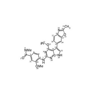 CNC(=O)c1ccc(Nc2nc(OC(C)C)c3c(-c4ccc5nc(C)oc5c4)c[nH]c3n2)c(OC)c1